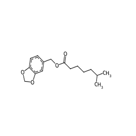 CC(C)CCCCC(=O)OCc1ccc2c(c1)OCO2